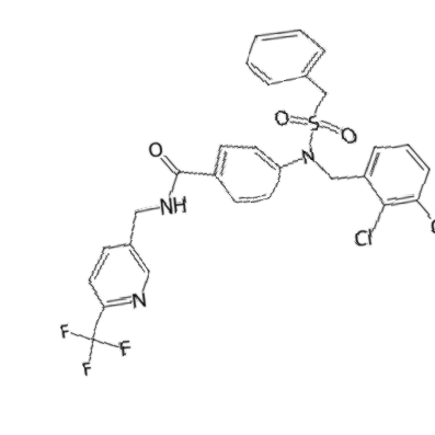 O=C(NCc1ccc(C(F)(F)F)nc1)c1ccc(N(Cc2cccc(Cl)c2Cl)S(=O)(=O)Cc2ccccc2)cc1